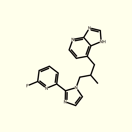 CC(Cc1ccnc2nc[nH]c12)Cn1ccnc1-c1cccc(F)n1